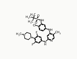 Cc1cnc(Nc2cc(F)c(N3CCN(C)CC3)c(F)c2)cc1Nc1ccc(Cl)c(NS(=O)(=O)C(C)(C)C)c1